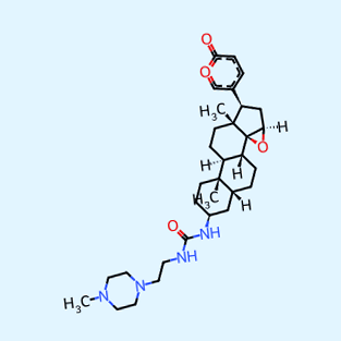 CN1CCN(CCNC(=O)N[C@H]2CC[C@@]3(C)[C@H](CC[C@@H]4[C@@H]3CC[C@]3(C)[C@@H](c5ccc(=O)oc5)C[C@H]5O[C@]453)C2)CC1